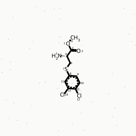 COC(=O)[C@@H](N)CSc1ccc(Cl)c(Cl)c1